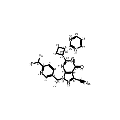 C[C@H](c1ccc(C(F)F)nc1)n1nc(C#N)c2c(=O)[nH]c([C@H]3CC[C@@H]3c3ncccn3)nc21